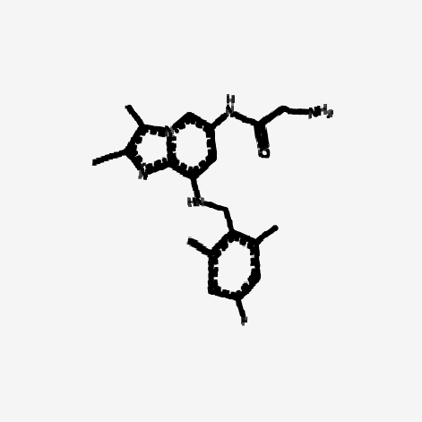 Cc1cc(F)cc(C)c1CNc1cc(NC(=O)CN)cn2c(C)c(C)nc12